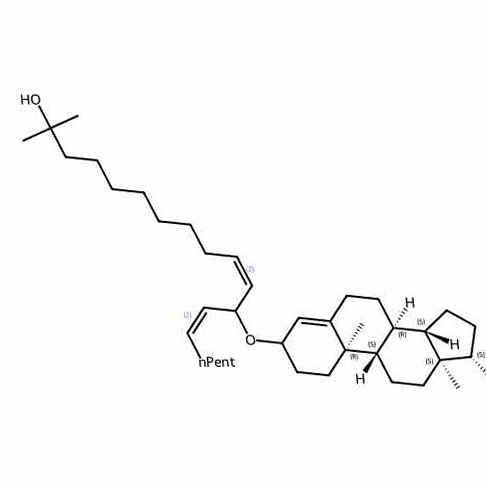 CCCCC/C=C\C(/C=C\CCCCCCCC(C)(C)O)OC1C=C2CC[C@H]3[C@@H]4CC[C@H](O)[C@@]4(C)CC[C@@H]3[C@@]2(C)CC1